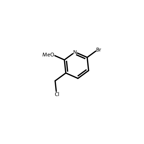 COc1nc(Br)ccc1CCl